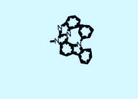 Cn1c2ccc3c4ccccc4n(-c4ccccc4)c3c2n2c3ccccc3nc12